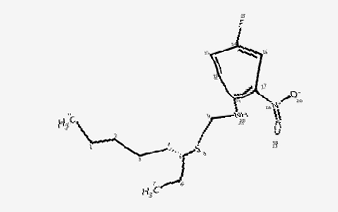 CCCCC[C@@H](CC)SCNc1ccc(F)cc1[N+](=O)[O-]